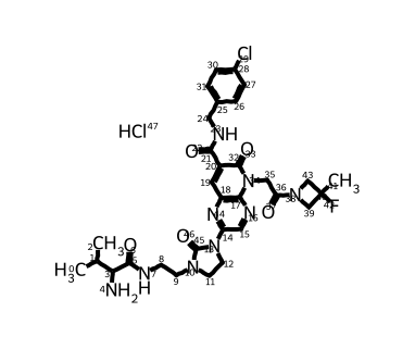 CC(C)C(N)C(=O)NCCN1CCN(c2cnc3c(cc(C(=O)NCc4ccc(Cl)cc4)c(=O)n3CC(=O)N3CC(C)(F)C3)n2)C1=O.Cl